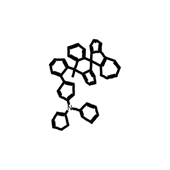 CC1(c2ccccc2-c2ccc(N(C3=CC=CCC3)c3ccccc3)cc2)c2ccccc2C2(C3=C(C=CC=CC3)c3ccccc32)c2ccccc21